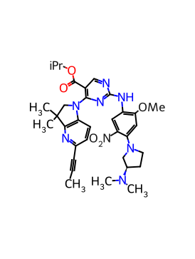 CC#Cc1ccc2c(n1)C(C)(C)CN2c1nc(Nc2cc([N+](=O)[O-])c(N3CC[C@@H](N(C)C)C3)cc2OC)ncc1C(=O)OC(C)C